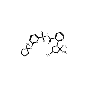 CC1CN(c2ncccc2C(=O)NS(=O)(=O)c2cccc(OC3(C)CCCC3)n2)C(C)(C)C1